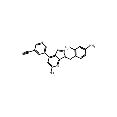 N#Cc1cncc(-c2nc(N)nc3c2cnn3Cc2ccc(N)cc2P)c1